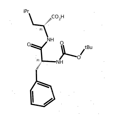 CC(C)C[C@@H](NC(=O)[C@@H](Cc1ccccc1)NC(=O)OC(C)(C)C)C(=O)O